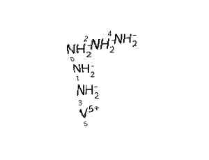 [NH2-].[NH2-].[NH2-].[NH2-].[NH2-].[V+5]